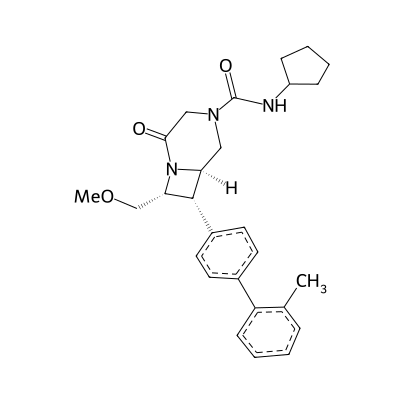 COC[C@H]1[C@@H](c2ccc(-c3ccccc3C)cc2)[C@@H]2CN(C(=O)NC3CCCC3)CC(=O)N12